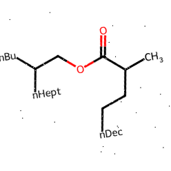 CCCCCCCCCCCCC(C)C(=O)OCC(CCCC)CCCCCCC